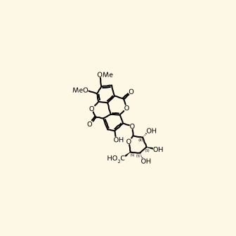 COc1cc2c(=O)oc3c(OC4O[C@H](C(=O)O)[C@@H](O)[C@H](O)[C@H]4O)c(O)cc4c(=O)oc(c1OC)c2c34